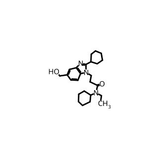 CCN(C(=O)CCn1c(C2CCCCC2)nc2cc(CO)ccc21)C1CCCCC1